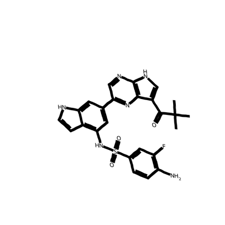 CC(C)(C)C(=O)c1c[nH]c2ncc(-c3cc(NS(=O)(=O)c4ccc(N)c(F)c4)c4cc[nH]c4c3)nc12